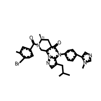 Cc1cc(C(=O)N2Cc3c(c(=O)n(-c4ccc(-c5cncn5C)cc4)c4c(CC(C)C)cnn34)C[C@@H]2C)ccc1Br